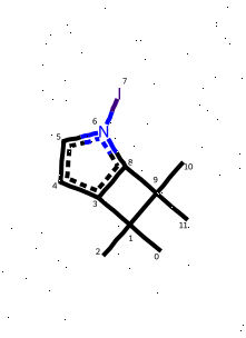 CC1(C)c2ccn(I)c2C1(C)C